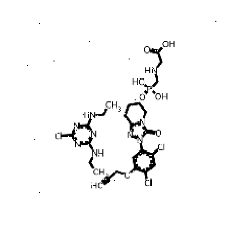 C#CCOc1cc(-n2nc3n(c2=O)CCCC3)c(Cl)cc1Cl.CCNc1nc(Cl)nc(NCC)n1.O=C(O)CNCP(=O)(O)O